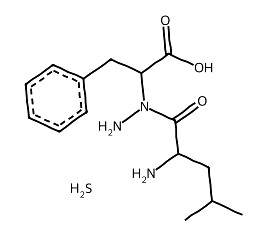 CC(C)CC(N)C(=O)N(N)C(Cc1ccccc1)C(=O)O.S